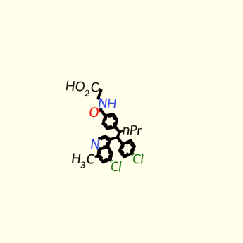 CCCC(c1ccc(C(=O)NCCC(=O)O)cc1)C(c1ccc(Cl)cc1)c1ccnc2c(C)cc(Cl)cc12